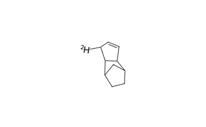 [2H]C1C=CC2C3CCC(C3)C12